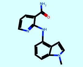 Cn1ccc2c(Nc3ncccc3C(N)=O)cccc21